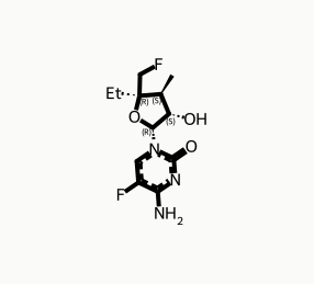 CC[C@@]1(CF)O[C@@H](n2cc(F)c(N)nc2=O)[C@@H](O)[C@@H]1C